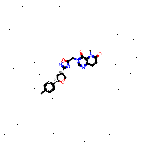 Cc1ccc([C@H]2C[C@H](c3noc(Cn4cnc5ccc(=O)n(C)c5c4=O)n3)CO2)cc1